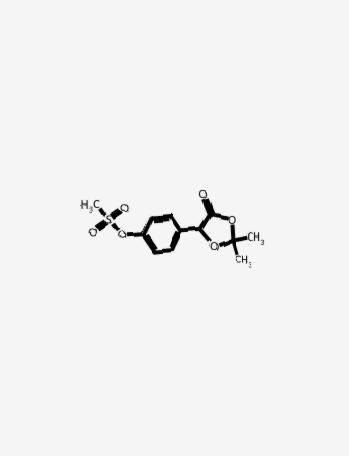 CC1(C)OC(=O)C(c2ccc(OS(C)(=O)=O)cc2)O1